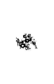 CCOc1nc2ccc(C(=O)O)cc2n1Cc1ccc(C(=O)OCCN(C)C)cc1.NC(=O)N1CCCC1